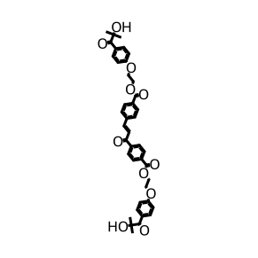 CC(C)(O)C(=O)c1ccc(OCCOC(=O)c2ccc(/C=C/C(=O)c3ccc(C(=O)OCCOc4ccc(C(=O)C(C)(C)O)cc4)cc3)cc2)cc1